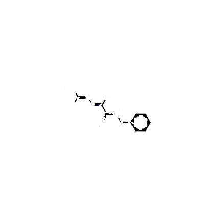 CC(C)=N/N=C(\N)C(=O)OCc1ccccc1